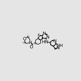 C[C@@H]1CN(C(=O)[C@H]2CCc3c(sc4ncnc(Nc5cnc6[nH]ncc6c5)c34)C2)C[C@H](C)O1